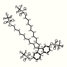 O=S(=O)(OCCCCCCCCCCC1(CCCCCCCCCCOS(=O)(=O)C(F)(F)F)c2cc(OS(=O)(=O)C(F)(F)F)ccc2-c2ccc(OS(=O)(=O)C(F)(F)F)cc21)C(F)(F)F